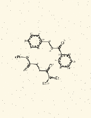 CCCOC(=O)CCC(=O)N(CC)CC.O=C(OCc1ccccc1)c1ccccc1